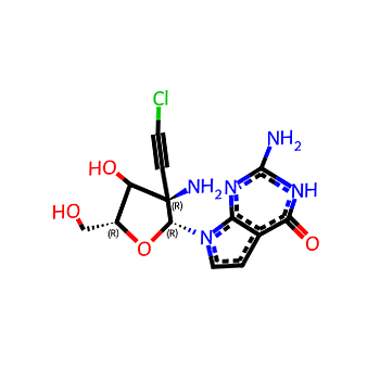 Nc1nc2c(ccn2[C@@H]2O[C@H](CO)C(O)[C@]2(N)C#CCl)c(=O)[nH]1